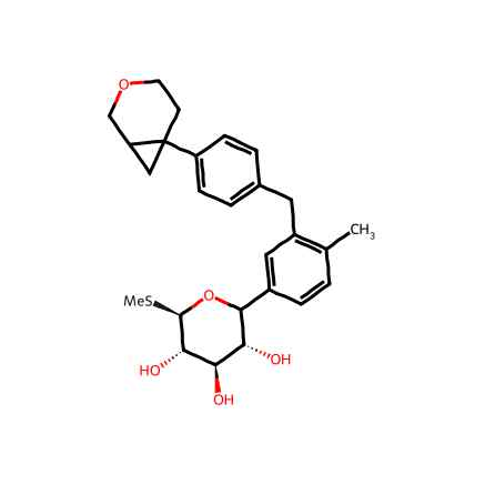 CS[C@H]1OC(c2ccc(C)c(Cc3ccc(C45CCOCC4C5)cc3)c2)[C@H](O)[C@@H](O)[C@@H]1O